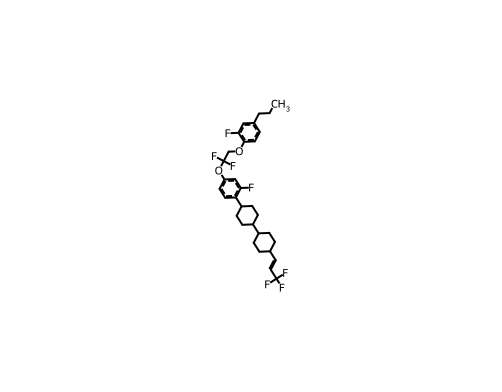 CCCc1ccc(OCC(F)(F)Oc2ccc(C3CCC(C4CCC(/C=C/C(F)(F)F)CC4)CC3)c(F)c2)c(F)c1